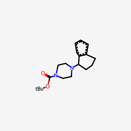 CC(C)(C)OC(=O)N1CCN(C2CCCc3ccccc32)CC1